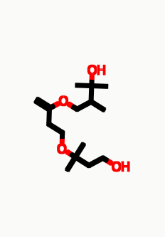 C=C(CCOC(C)(C)CCO)OCC(C)C(C)(C)O